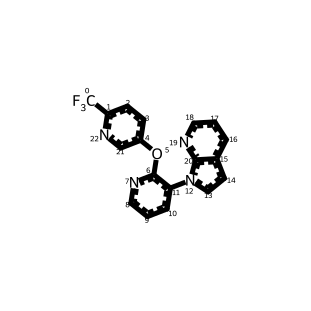 FC(F)(F)c1ccc(Oc2ncccc2-n2ccc3cccnc32)cn1